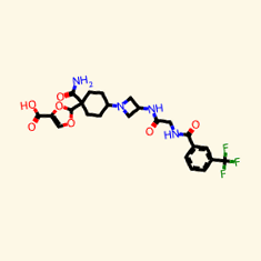 NC(=O)C1(C2OC=C(C(=O)O)O2)CCC(N2CC(NC(=O)CNC(=O)c3cccc(C(F)(F)F)c3)C2)CC1